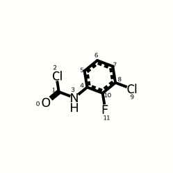 O=C(Cl)Nc1cccc(Cl)c1F